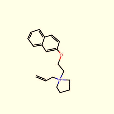 C=CC[N+]1(CCOc2ccc3ccccc3c2)CCCC1